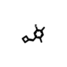 Cc1cc(C)c(C=C2CCC2)cc1F